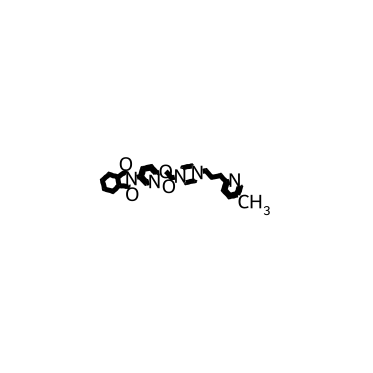 Cc1ccc(CCCN2CCN(C(=O)Oc3ccc(N4C(=O)C5CCCCC5C4=O)cn3)CC2)nc1